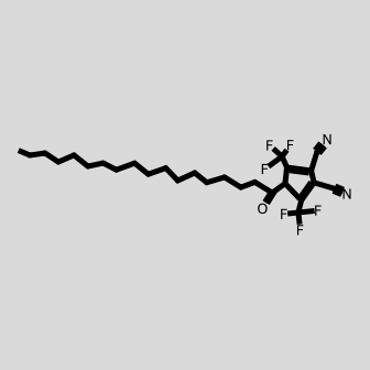 CCCCCCCCCCCCCCCCCC(=O)C1C(C(F)(F)F)=C(C#N)C(C#N)=C1C(F)(F)F